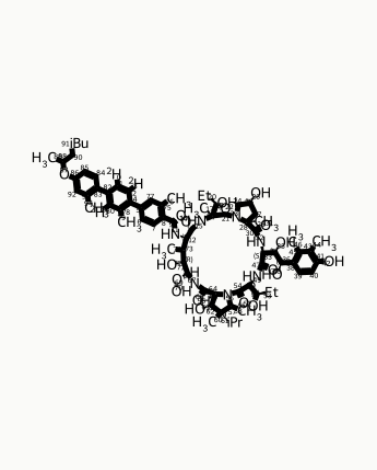 [2H]c1c([2H])c(-c2ccc(C(=O)N[C@@H]3C(=O)N[C@@](C)([C@H](O)CC)C(=O)N4C[C@H](O)C[C@@]4(C)C(=O)N[C@@H]([C@H](O)[C@@H](O)c4ccc(O)c(C)c4C)C(=O)N[C@@H]([C@H](O)CC)C(=O)N4C(C)[C@](C)(C(C)C)[C@H](O)[C@H]4C(=O)N[C@H](OO)[C@H](O)C3C)c(C)c2)c(C)c([2H])c1-c1ccc(OC(C)CC(C)CC)cc1C